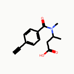 [C]#Cc1ccc(C(=O)N(C)C(C)CC(=O)O)cc1